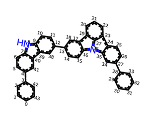 c1ccc(-c2ccc3[nH]c4ccc(-c5ccc6c(c5)c5cccc7c8ccc(-c9ccccc9)cc8n6c57)cc4c3c2)cc1